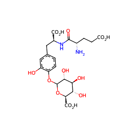 N[C@@H](CCC(=O)O)C(=O)N[C@@H](Cc1ccc(OC2O[C@H](C(=O)O)[C@@H](O)[C@H](O)[C@H]2O)c(O)c1)C(=O)O